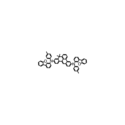 Cc1ccc(N(c2ccc3c(c2)C(C)(C)c2cccc4c2c-3cc2ccc(N(c3ccc(C)cc3)c3cccc5c3oc3ccccc35)cc24)c2cccc3c2oc2ccccc23)cc1